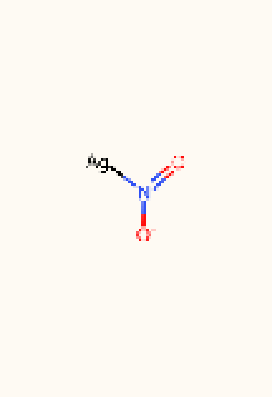 O=[N+]([O-])[Ag]